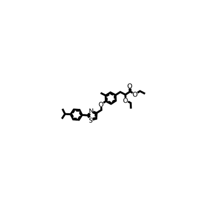 CCOC(=O)C(Cc1ccc(OCc2csc(-c3ccc(C(C)C)cc3)n2)c(C)c1)OCC